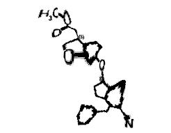 COC(=O)C[C@@H]1COc2cc(O[C@@H]3CCc4c3ccc(C#N)c4Cc3ccccc3)ccc21